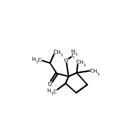 COC1(C(=O)C(C)C)C(C)CCC1(C)C